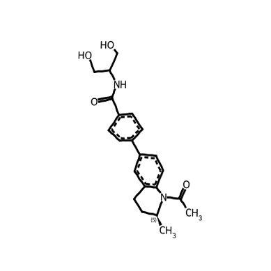 CC(=O)N1c2ccc(-c3ccc(C(=O)NC(CO)CO)cc3)cc2CC[C@@H]1C